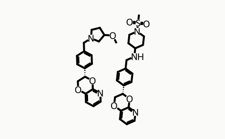 COC1CCN(Cc2ccc([C@H]3COc4cccnc4O3)cc2)C1.CS(=O)(=O)N1CCC(NCc2ccc([C@H]3COc4cccnc4O3)cc2)CC1